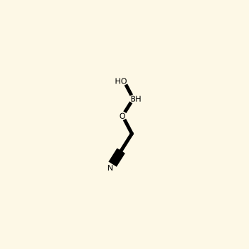 N#CCOBO